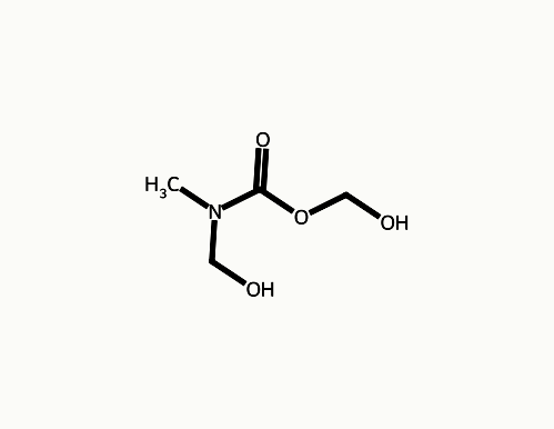 CN(CO)C(=O)OCO